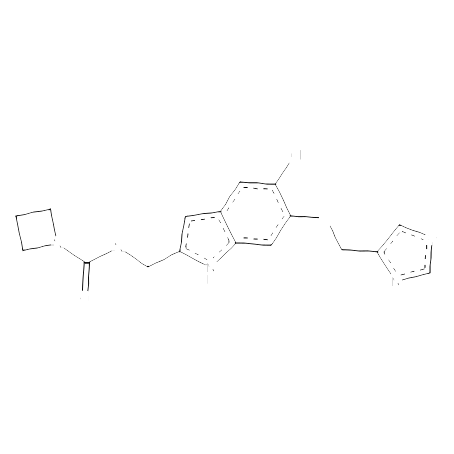 O=C(NCc1cc2cc(Cl)c(OCc3cocn3)cc2[nH]1)N1CCC1